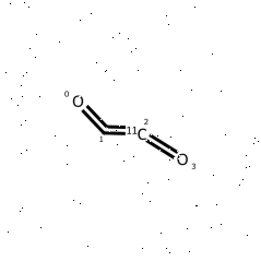 O=C=[11C]=O